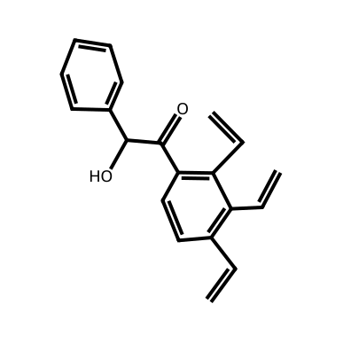 C=Cc1ccc(C(=O)C(O)c2ccccc2)c(C=C)c1C=C